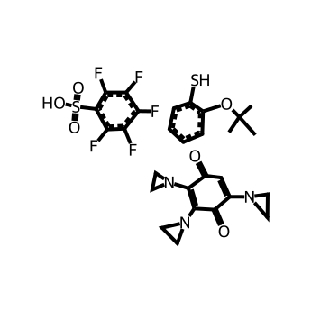 CC(C)(C)Oc1ccccc1S.O=C1C=C(N2CC2)C(=O)C(N2CC2)=C1N1CC1.O=S(=O)(O)c1c(F)c(F)c(F)c(F)c1F